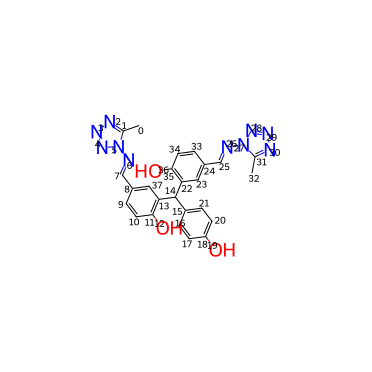 Cc1nnnn1/N=C/c1ccc(O)c(C(c2ccc(O)cc2)c2cc(/C=N/n3nnnc3C)ccc2O)c1